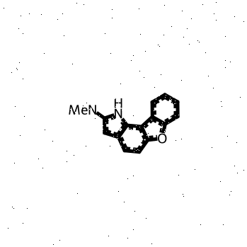 CNc1cc2ccc3oc4ccccc4c3c2[nH]1